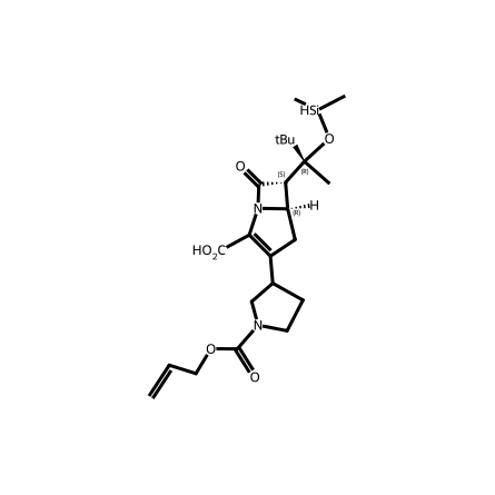 C=CCOC(=O)N1CCC(C2=C(C(=O)O)N3C(=O)[C@H]([C@@](C)(O[SiH](C)C)C(C)(C)C)[C@H]3C2)C1